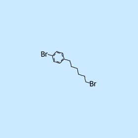 BrCCCCCCc1ccc(Br)cc1